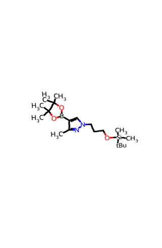 Cc1nn(CCCO[Si](C)(C)C(C)(C)C)cc1B1OC(C)(C)C(C)(C)O1